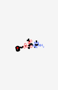 C#C[C@]1(COC(=O)OCCCC23CC4CC(CC(C4)C2)C3)O[C@@H](n2cnc3c(N)nc(C)nc32)C[C@@H]1OC(=O)C(C)C